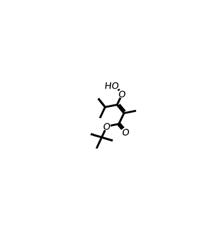 CC(C(=O)OC(C)(C)C)=C(OO)C(C)C